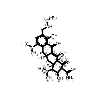 CN(C)c1cc(CNOC(C)(C)C)c(O)c2c1C[C@H]1C[C@H]3C(N(C)C)C(O)C(C(N)=O)C(=O)[C@@]3(O)C(O)=C1C2=O